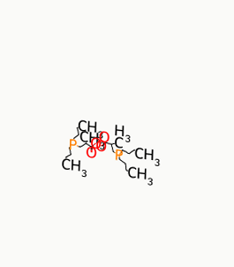 CCCCP(CCCC)CC(C)C(=O)OOC(=O)C(C)CP(CCCC)CCCC